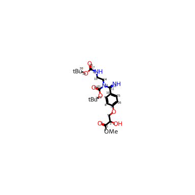 COC(=O)C(O)COc1ccc(C(=N)N(CCNC(=O)OC(C)(C)C)C(=O)OC(C)(C)C)cc1